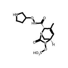 CC1=C[C@@H]2CN(C(=O)N2OS(=O)(=O)O)[C@@H]1C(=O)NOC1CCNC1